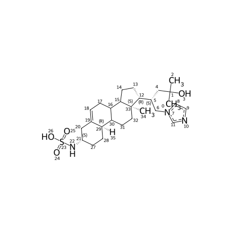 CC(C)(O)C[C@H](Cn1ccnc1)[C@H]1CCC2C3CC=C4C[C@@H](NS(=O)(=O)O)CC[C@@H]4C3CC[C@@]21C